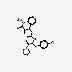 CC(C)(C)OC(=O)NC(CC(=O)NC(Cc1ccc(C#N)cc1)C(=O)N1CCCC1)c1ccccc1